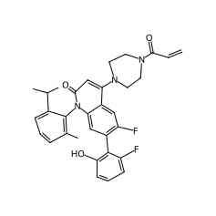 C=CC(=O)N1CCN(c2cc(=O)n(-c3c(C)cccc3C(C)C)c3cc(-c4c(O)cccc4F)c(F)cc23)CC1